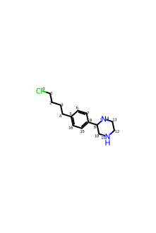 ClCCCCc1ccc(C2CNCC[N]2)cc1